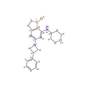 [O-][S+]1CCc2nc(N3CC(c4ccccc4)C3)nc(NC3CCOCC3)c21